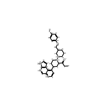 CCC(=O)C1CC(c2ccnc3cnc4[nH]ccc4c23)CCN1N1CCCC(COc2ccc(F)cc2)C1